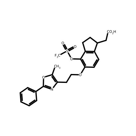 Cc1oc(-c2ccccc2)nc1CCOc1ccc2c(c1OS(=O)(=O)C(F)(F)F)CCC2CC(=O)O